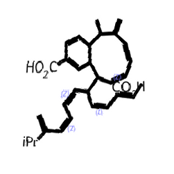 C=C(/C=C\C=C/C(/C=C\C(=CC)C(=O)O)C1/C=C\C=CC(=C)C(C)C2C=CC(C(=O)O)=CC21)C(C)C